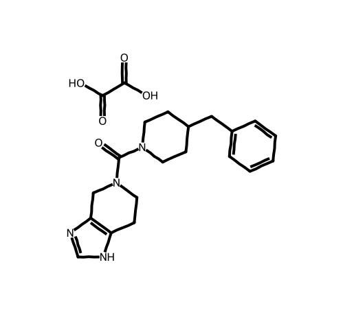 O=C(N1CCC(Cc2ccccc2)CC1)N1CCc2[nH]cnc2C1.O=C(O)C(=O)O